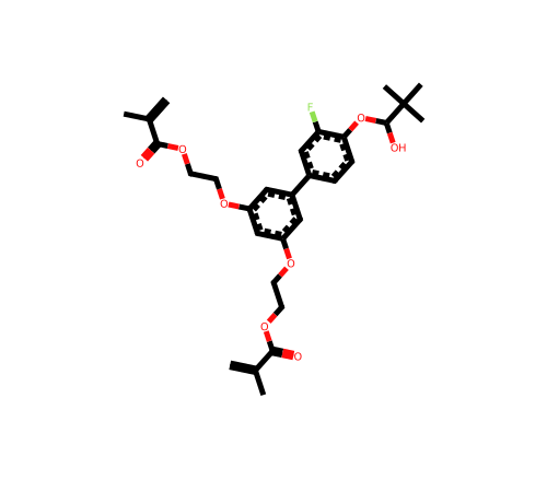 C=C(C)C(=O)OCCOc1cc(OCCOC(=O)C(=C)C)cc(-c2ccc(OC(O)C(C)(C)C)c(F)c2)c1